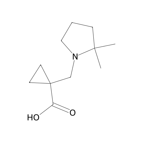 CC1(C)CCCN1CC1(C(=O)O)CC1